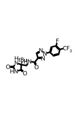 CC(C)(C)[C@]1(CNC(=O)c2cnn(-c3ccc(C(F)(F)F)c(F)c3)n2)NC(=O)NC1=O